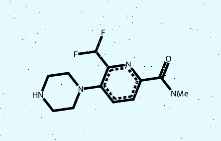 CNC(=O)c1ccc(N2CCNCC2)c(C(F)F)n1